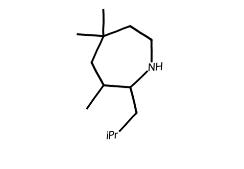 CC(C)CC1NCCC(C)(C)CC1C